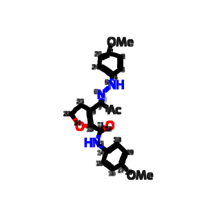 COc1ccc(N/N=C(\C(C)=O)C2=C(C(=O)Nc3ccc(OC)cc3)OCC2)cc1